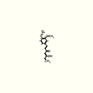 C=CC(O)=CC(=O)C=Cc1ccc(OC)c(OC)c1